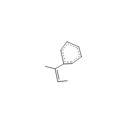 F/C(=C/I)c1ccccc1